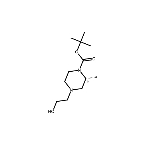 C[C@@H]1CN(CCO)CCN1C(=O)OC(C)(C)C